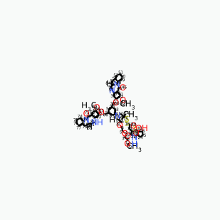 COCCOCCOCCN(CC(C)(C)SSCCC(C(=O)NC1CCCC1)S(=O)(=O)O)c1cc(COc2cc3c(cc2OC)C(=O)N2c4ccccc4C[C@H]2C=N3)cc(COc2cc3c(cc2OC)C(=O)N2c4ccccc4C[C@H]2CN3)c1